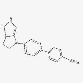 N#Cc1ccc(-c2ccc(N3CCC4CNC=C43)cc2)cc1